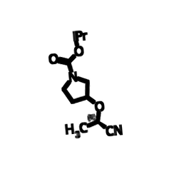 CC(C)OC(=O)N1CCC(O[C@H](C)C#N)C1